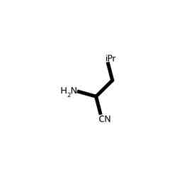 CC(C)CC(N)C#N